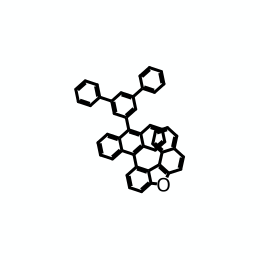 c1ccc(-c2cc(-c3ccccc3)cc(-c3c4ccccc4c(-c4cccc5oc6ccc7ccccc7c6c45)c4ccccc34)c2)cc1